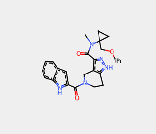 CC(C)OCC1(N(C)C(=O)c2n[nH]c3c2CN(C(=O)c2cc4ccccc4[nH]2)CC3)CC1